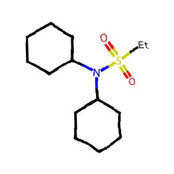 CCS(=O)(=O)N(C1CCCCC1)C1CCCCC1